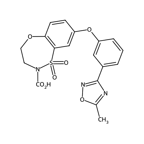 Cc1nc(-c2cccc(Oc3ccc4c(c3)S(=O)(=O)N(C(=O)O)CCO4)c2)no1